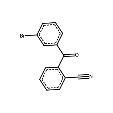 N#Cc1ccccc1C(=O)c1cccc(Br)c1